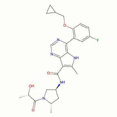 Cc1[nH]c2c(-c3cc(F)ccc3OCC3CC3)ncnc2c1C(=O)N[C@H]1C[C@H](C)N(C(=O)[C@H](C)O)C1